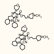 CN1CCC(CCOC(=O)NC(=NC(CC2CCCCC2)C(=O)NC2(C#N)CCCCC2)N2CCOCC2)CC1.CN1CCN(CCOC(=O)NC(=NC(CC2CCCCC2)C(=O)NC2(C#N)CCCCC2)N2CCOCC2)CC1